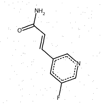 NC(=O)C=Cc1cncc(F)c1